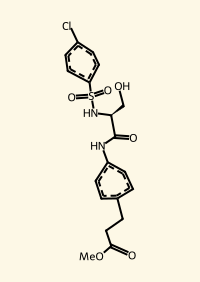 COC(=O)CCc1ccc(NC(=O)[C@H](CO)NS(=O)(=O)c2ccc(Cl)cc2)cc1